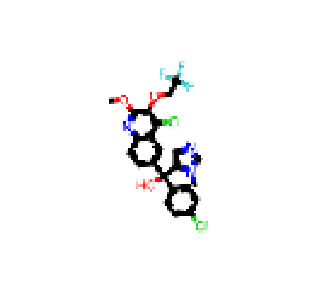 COc1nc2ccc(C(O)(c3ccc(Cl)cc3)c3cncn3C)cc2c(Cl)c1OCC(F)(F)F